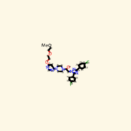 COCCOCCOc1cc(N2CCN(C(=O)Cn3nc(-c4ccc(F)cc4)nc3-c3ccc(F)cc3)CC2)ncn1